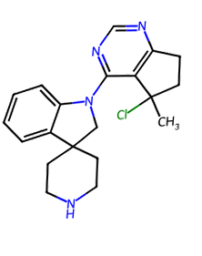 CC1(Cl)CCc2ncnc(N3CC4(CCNCC4)c4ccccc43)c21